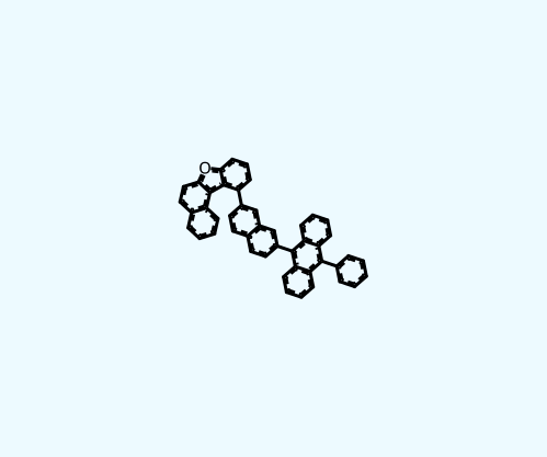 c1ccc(-c2c3ccccc3c(-c3ccc4ccc(-c5cccc6oc7ccc8ccccc8c7c56)cc4c3)c3ccccc23)cc1